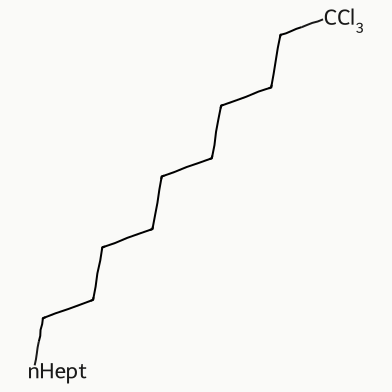 CCCCCCCCCCCCCCCCC(Cl)(Cl)Cl